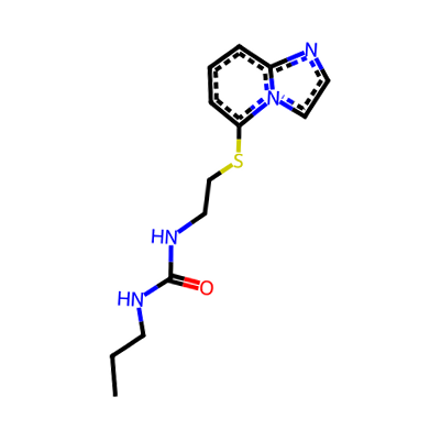 CCCNC(=O)NCCSc1cccc2nccn12